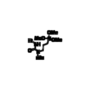 CCCCN(CCC[Si](OC)(OC)OC)C(=O)NCC